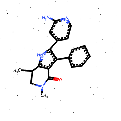 CC1CN(C)C(=O)c2c1[nH]c(-c1ccnc(N)c1)c2-c1ccccc1